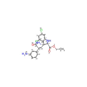 CCOC(=O)c1[nH]c2cc(Cl)cc(Cl)c2c1/C=C(\C(N)=O)c1cccc(N)c1